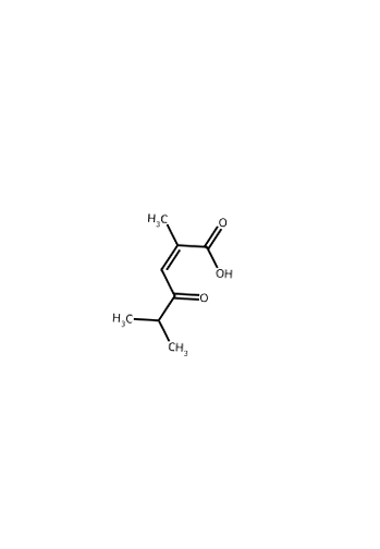 CC(=CC(=O)C(C)C)C(=O)O